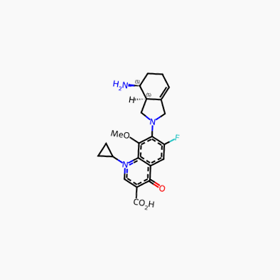 COc1c(N2CC3=CCC[C@H](N)[C@@H]3C2)c(F)cc2c(=O)c(C(=O)O)cn(C3CC3)c12